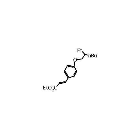 CCCCC(CC)COc1ccc(/C=C/C(=O)OCC)cc1